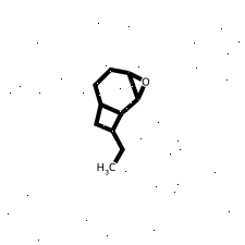 CCC1CC2CCC3OC3C12